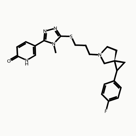 Cn1c(SCCCN2CC[C@]3(CC3c3ccc(F)cc3)C2)nnc1-c1ccc(=O)[nH]c1